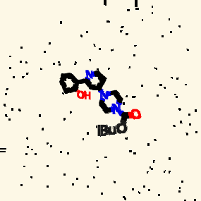 CC(C)COC(=O)N1CCN(c2ccnc(-c3ccccc3O)c2)CC1